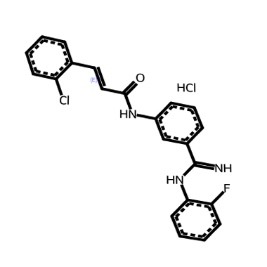 Cl.N=C(Nc1ccccc1F)c1cccc(NC(=O)/C=C/c2ccccc2Cl)c1